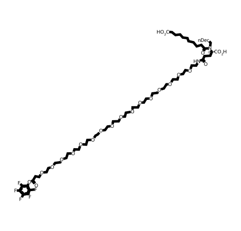 CCCCCCCCCCCN(C(=O)CCCCCCCCCC(=O)O)[C@@H](CCC(=O)NCCOCCOCCOCCOCCOCCOCCOCCOCCOCCOCCOCCOCCOCCOCCOCCOCCC(=O)Oc1c(F)c(F)c(F)c(F)c1F)C(=O)O